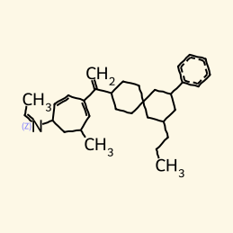 C=C(C1=CC(C)CC(/N=C\C)C=C1)C1CCC2(CC1)CC(CCC)CC(c1ccccc1)C2